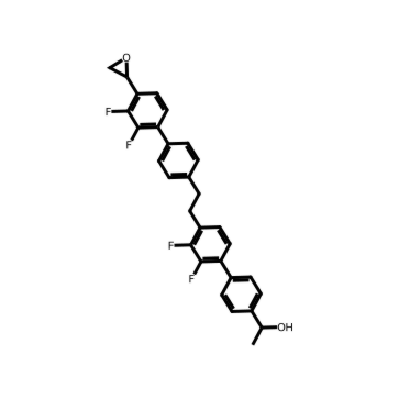 CC(O)c1ccc(-c2ccc(CCc3ccc(-c4ccc(C5CO5)c(F)c4F)cc3)c(F)c2F)cc1